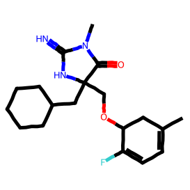 CC1=CC=C(F)C(OCC2(CC3CCCCC3)NC(=N)N(C)C2=O)C1